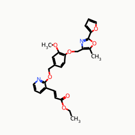 CCOC(=O)C=Cc1cccnc1OCc1ccc(OCc2nc(-c3ccco3)oc2C)c(OC)c1